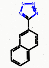 c1ccc2cc(C3=N[N]N=N3)ccc2c1